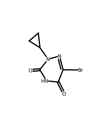 O=c1[nH]c(=O)n(C2CC2)nc1Br